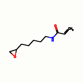 C=CC(=O)NCCCCCC1CO1